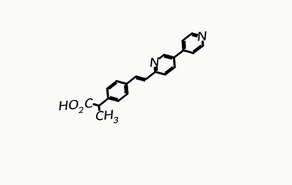 CC(C(=O)O)c1ccc(C=Cc2ccc(-c3ccncc3)cn2)cc1